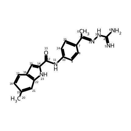 C/C(=N\NC(=N)N)c1ccc(NC(=O)c2cc3ccc(C)cc3[nH]2)cc1